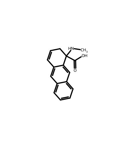 CNC1(C(=O)O)CC=Cc2cc3ccccc3cc21